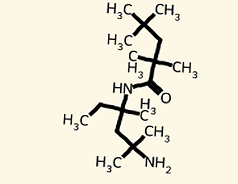 CCC(C)(CC(C)(C)N)NC(=O)C(C)(C)CC(C)(C)C